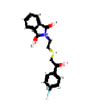 O=C(CSCCN1C(=O)c2ccccc2C1=O)c1ccc(F)cc1